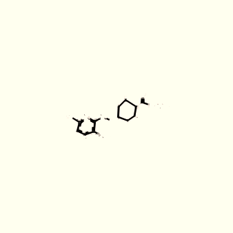 COC(=O)[C@H]1CC[C@H](CNc2nc(Br)ccc2[N+](=O)[O-])CC1